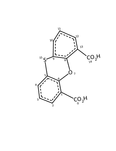 O=C(O)c1cccc2c1Oc1c(cccc1C(=O)O)S2